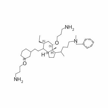 CC[C@H]1C[C@H](OCCCN)[C@]2(C)C(C(C)CCCN(C)Cc3ccccc3)CC[C@H]2C1CCC1CCC[C@@H](OCCCN)C1